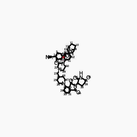 N#Cc1ccc(OC2CC3CCC(C2)N3c2ccc(N3CCN(CC4CCN(c5cccc6c5C(=O)N(C5CCC(=O)NC5=O)C6=O)CC4)CC3)cc2)cc1Cl